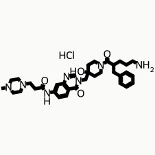 CN1CCN(CCC(=O)Nc2ccc3c(=O)n(CC4(O)CCN(C(=O)C(CCCN)Cc5ccccc5)CC4)cnc3c2)CC1.Cl